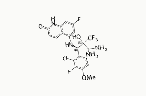 COc1ccc([C@@H](Nc2cc(F)cc3[nH]c(=O)ccc23)[C@@](O)(C(N)N)C(F)(F)F)c(Cl)c1F